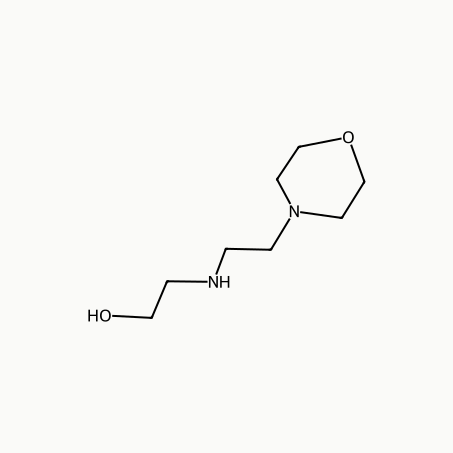 OCCNCCN1CCOCC1